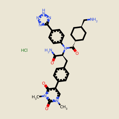 Cl.Cn1cc(-c2ccc(C[C@@H](C(N)=O)N(c3ccc(-c4nn[nH]n4)cc3)C(=O)[C@H]3CC[C@H](CN)CC3)cc2)c(=O)n(C)c1=O